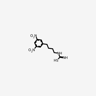 N=C(S)NCCCCc1cc([N+](=O)[O-])cc([N+](=O)[O-])c1